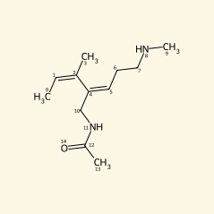 C/C=C(C)\C(=C/CCNC)CNC(C)=O